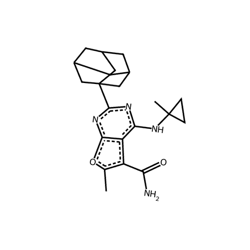 Cc1oc2nc(C34CC5CC(CC(C5)C3)C4)nc(NC3(C)CC3)c2c1C(N)=O